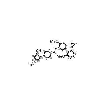 COc1cnc(-c2c(OC)ncnc2C2CC2)nc1CCc1ccc(-c2nc(C(F)(F)F)cn2C)cc1